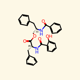 O=C(N[C@H](COC(=O)[C@@H](Cc1ccccc1)NC(=O)c1ccccc1O)Cc1ccccc1)c1ccccc1